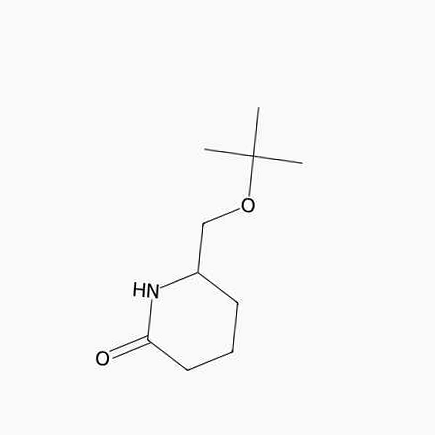 CC(C)(C)OCC1CCCC(=O)N1